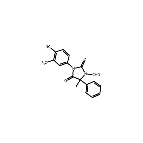 CC1(c2cc[c]cc2)C(=O)N(c2ccc(C#N)c(C(F)(F)F)c2)C(=O)N1C=O